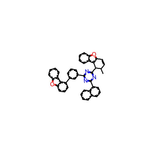 CC1C=Cc2oc3ccccc3c2C1c1nc(-c2cccc(-c3cccc4oc5ccccc5c34)c2)nc(-c2cccc3ccccc23)n1